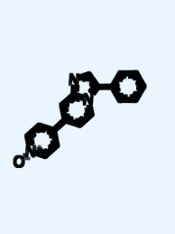 [O-][n+]1ccc(-c2ccn3c(-c4ccccc4)cnc3c2)cc1